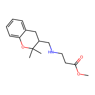 COC(=O)CCNCC1Cc2ccccc2OC1(C)C